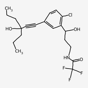 CCCC(O)(C#Cc1ccc(Cl)c(C(O)CCNC(=O)C(F)(F)F)c1)CCC